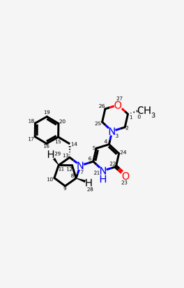 C[C@@H]1CN(c2cc(N3[C@@H]4CC[C@@H](C4)[C@@H]3Cc3ccccc3)[nH]c(=O)c2)CCO1